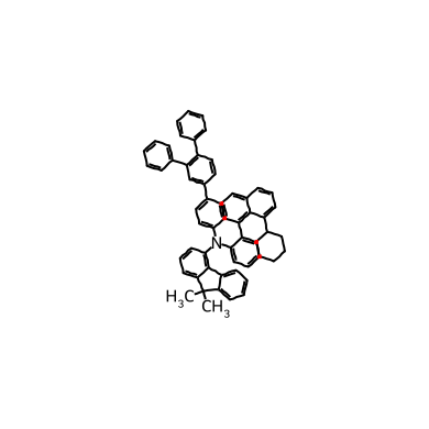 CC1(C)c2ccccc2-c2c(N(c3ccc(-c4ccc(-c5ccccc5)c(-c5ccccc5)c4)cc3)c3ccccc3-c3cccc4cccc(C5CCCCC5)c34)cccc21